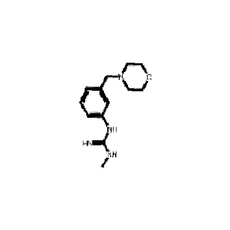 CNC(=N)Nc1cccc(CN2CCOCC2)c1